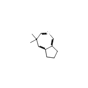 CC1(C)C=NC=C2CCCC2=C1